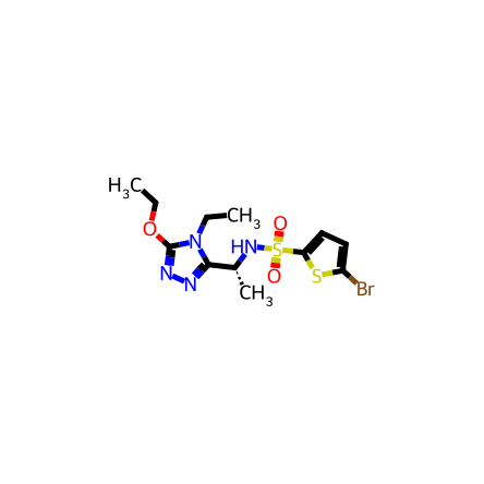 CCOc1nnc([C@@H](C)NS(=O)(=O)c2ccc(Br)s2)n1CC